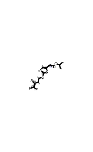 CC(C)O/N=C/c1cnc(SCCC(F)=C(F)F)s1